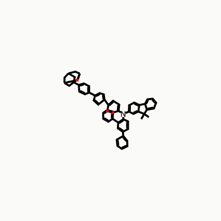 CC1(C)c2ccccc2-c2ccc(N(c3ccc(-c4ccc(-c5ccc(C67CC8CC(CC(C8)C6)C7)cc5)cc4)cc3)c3ccc(-c4ccccc4)cc3-c3ccccc3)cc21